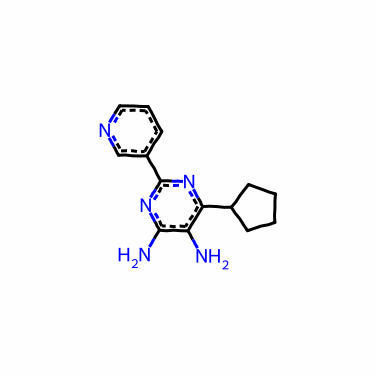 Nc1nc(-c2cccnc2)nc(C2CCCC2)c1N